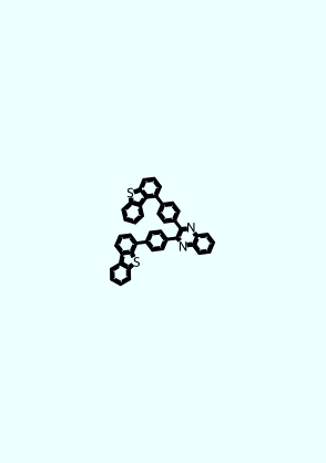 c1ccc2nc(-c3ccc(-c4cccc5sc6ccccc6c45)cc3)c(-c3ccc(-c4cccc5c4sc4ccccc45)cc3)nc2c1